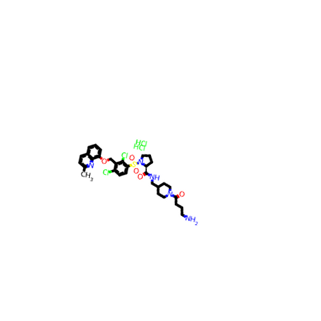 Cc1ccc2cccc(OCc3c(Cl)ccc(S(=O)(=O)N4CCC[C@H]4C(=O)NCC4CCN(C(=O)CCCN)CC4)c3Cl)c2n1.Cl.Cl